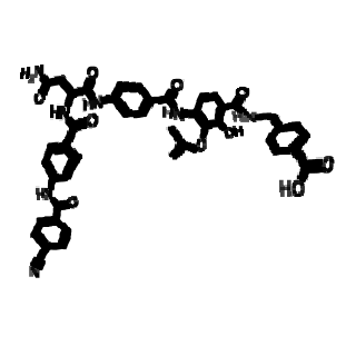 CC(C)Oc1c(NC(=O)c2ccc(NC(=O)C(CC(N)=O)NC(=O)c3ccc(NC(=O)c4ccc(C#N)cc4)cc3)cc2)ccc(C(=O)NCc2ccc(C(=O)O)cc2)c1O